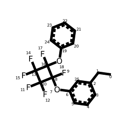 CCc1cccc(OC2(F)C(F)(F)C(F)(F)C2(F)Oc2ccccc2)c1